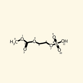 COC(=O)OCCOS(=O)(=O)O